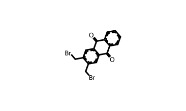 O=C1c2ccccc2C(=O)c2cc(CBr)c(CBr)cc21